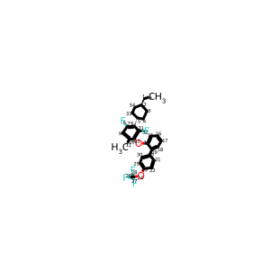 CC[C@H]1CC[C@H](c2c(F)cc(C)c(Oc3ccccc3-c3ccc(OC(F)(F)F)cc3)c2F)CC1